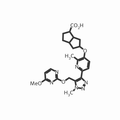 COc1ccnc(OCc2c(-c3ccc(OC4CC5CCC(C(=O)O)C5C4)c(C)n3)nnn2C)n1